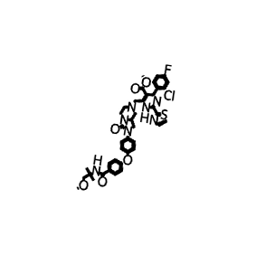 COCC(C)(C)NC(=O)c1ccc(Oc2ccc(N3CC4CN(CC5=C(C(=O)OC)C(c6ccc(F)cc6Cl)N=C(c6nccs6)N5)CCN4C3=O)cc2)cc1